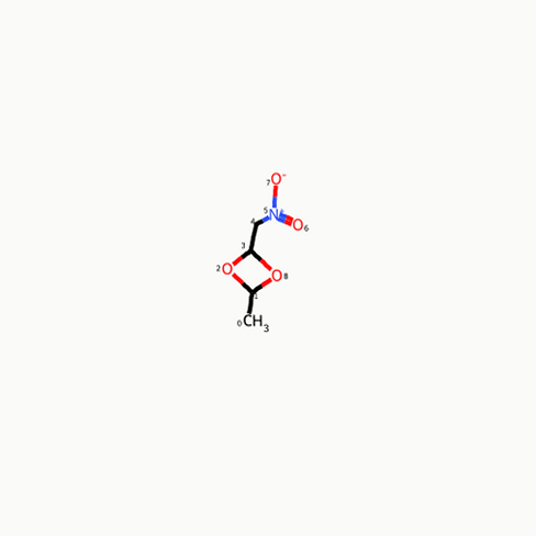 CC1OC(C[N+](=O)[O-])O1